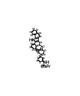 CC(C)C(=O)Nc1cccc(C2CCN(CCCc3c(-c4cccc(Br)c4)[nH]c4c3ccc3ccccc34)CC2)c1